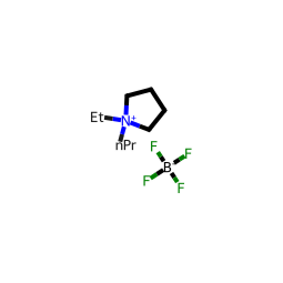 CCC[N+]1(CC)CCCC1.F[B-](F)(F)F